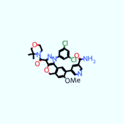 COc1cc2c(cc1-c1cncc(C(N)=O)c1)-c1c(c(C(=O)N3CCOCC3(C)C)nn1-c1cc(Cl)cc(Cl)c1)OC2